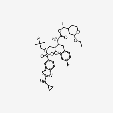 CCO[C@H]1CC([C@@H](C)OC(=O)N[C@@H](Cc2ccc(F)cc2)[C@H](O)CN(CC(C)(C)F)S(=O)(=O)c2ccc3nc(NC4CC4)sc3c2)CCO1